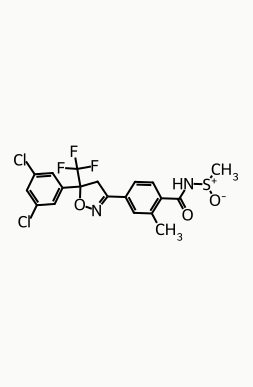 Cc1cc(C2=NOC(c3cc(Cl)cc(Cl)c3)(C(F)(F)F)C2)ccc1C(=O)N[S+](C)[O-]